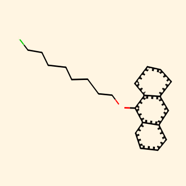 ClCCCCCCCCOc1c2ccccc2cc2ccccc12